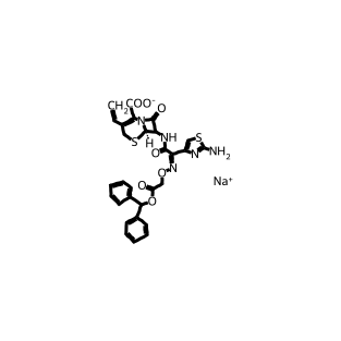 C=CC1=C(C(=O)[O-])N2C(=O)C(NC(=O)/C(=N\OCC(=O)OC(c3ccccc3)c3ccccc3)c3csc(N)n3)[C@H]2SC1.[Na+]